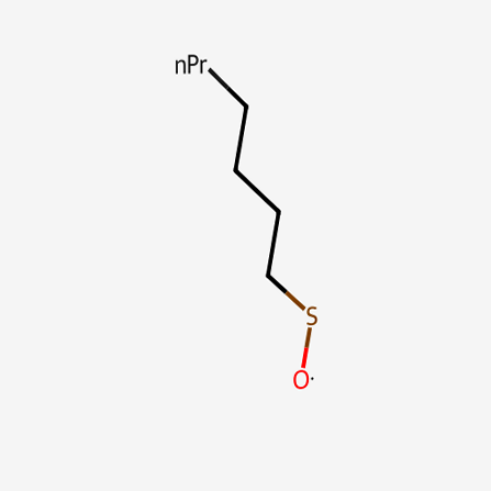 CCCCCCCS[O]